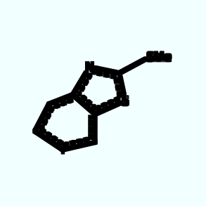 CSc1nc2cc[c]cc2s1